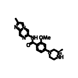 COc1cc(N2CCN[C@H](C)C2)ccc1C(=O)Nc1cn2cc(C)nc2cn1